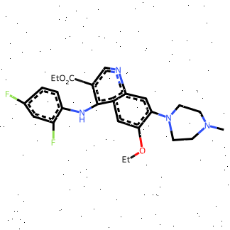 CCOC(=O)c1cnc2cc(N3CCN(C)CC3)c(OCC)cc2c1Nc1ccc(F)cc1F